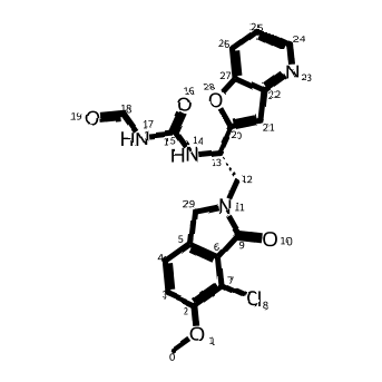 COc1ccc2c(c1Cl)C(=O)N(C[C@H](NC(=O)NC=O)c1cc3ncccc3o1)C2